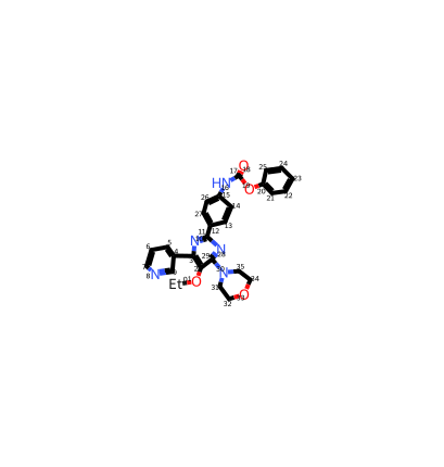 CCOc1c(-c2cccnc2)nc(-c2ccc(NC(=O)Oc3ccccc3)cc2)nc1N1CCOCC1